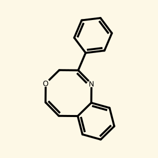 C1=Cc2ccccc2N=C(c2ccccc2)CO1